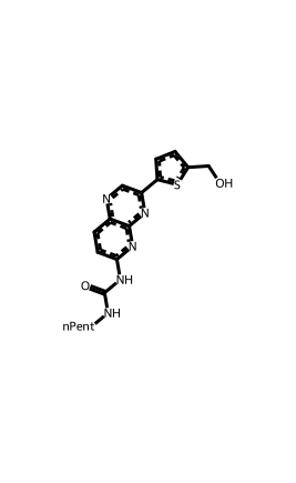 CCCCCNC(=O)Nc1ccc2ncc(-c3ccc(CO)s3)nc2n1